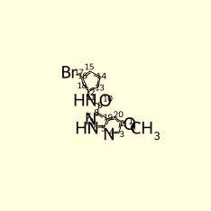 COc1cnc2[nH]nc(C(=O)Nc3cccc(Br)c3)c2c1